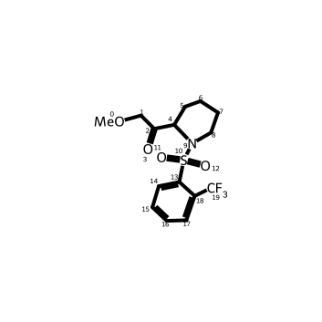 COCC(=O)C1CCCCN1S(=O)(=O)c1ccccc1C(F)(F)F